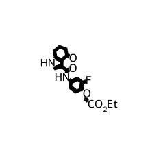 CCOC(=O)COc1ccc(NC(=O)c2c[nH]c3c2C(=O)CCC3)cc1F